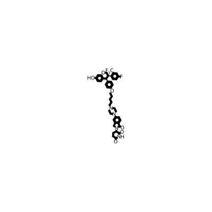 O=C1CCC(N2Cc3cc(N4CCN(CCCCCOc5ccc([C@H]6c7ccc(O)cc7OC[C@H]6c6ccc(F)cc6C(F)(F)F)cc5)CC4)ccc3C2=O)C(=O)N1